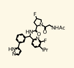 CC(=O)NCC(=O)N1CC(F)CC1C(=O)NC(c1cccc(-c2ccn[nH]2)c1)c1ccc(C(C)C)c(F)n1